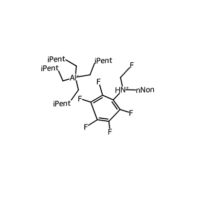 CCCC(C)[CH2][Al-]([CH2]C(C)CCC)([CH2]C(C)CCC)[CH2]C(C)CCC.CCCCCCCCC[NH+](CF)c1c(F)c(F)c(F)c(F)c1F